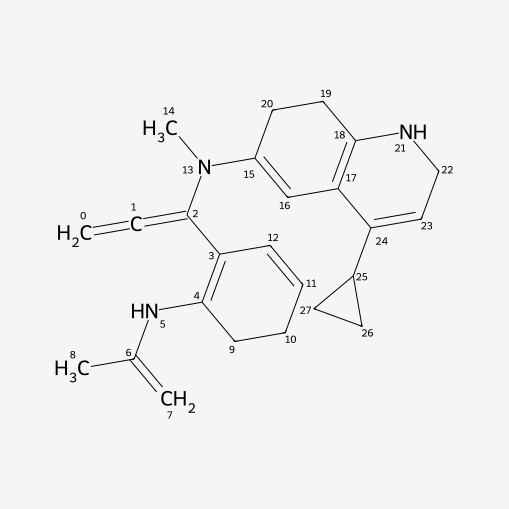 C=C=C(C1=C(NC(=C)C)CCC=C1)N(C)C1=CC2=C(CC1)NCC=C2C1CC1